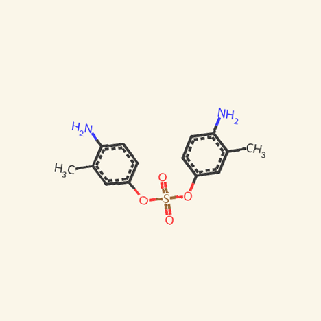 Cc1cc(OS(=O)(=O)Oc2ccc(N)c(C)c2)ccc1N